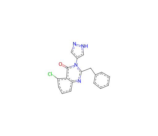 O=c1c2c(Cl)cccc2nc(Cc2ccccc2)n1-c1cn[nH]c1